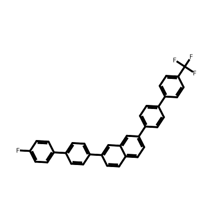 Fc1ccc(-c2ccc(-c3ccc4ccc(-c5ccc(-c6ccc(C(F)(F)F)cc6)cc5)cc4c3)cc2)cc1